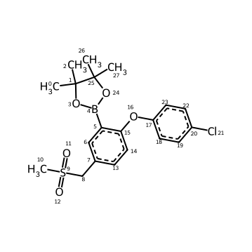 CC1(C)OB(c2cc(CS(C)(=O)=O)ccc2Oc2ccc(Cl)cc2)OC1(C)C